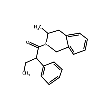 CCC(C(=O)N1Cc2ccccc2CC1C)c1ccccc1